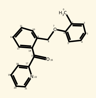 Cc1ccccc1OCc1ccccc1C(=O)c1ccccn1